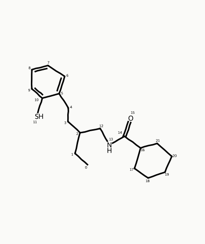 CCC(CCc1ccccc1S)CNC(=O)C1CCCCC1